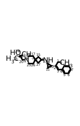 CC/C(=C\c1ccccc1)[C@@H]1CC1NC1CC2(CCN(CC(C)(C)O)CC2)C1